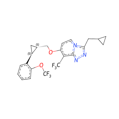 FC(F)(F)Oc1ccccc1[C@H]1C[C@@H]1COc1ccn2c(CC3CC3)nnc2c1C(F)(F)F